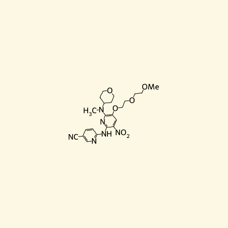 COCCOCCOc1cc([N+](=O)[O-])c(Nc2ccc(C#N)cn2)nc1N(C)C1CCOCC1